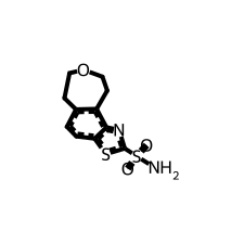 NS(=O)(=O)c1nc2c3c(ccc2s1)CCOCC3